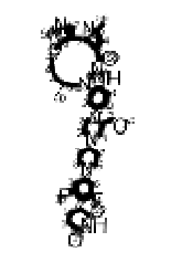 COCC1CN(C2CCN(c3cc(F)c([C@H]4CCC(=O)NC4=O)c(F)c3)CC2)CCN1c1ccc2c(c1)N1C[C@H](C)CCCOc3c(cnn3C)-c3cc(cc(C)n3)C(=O)/N=C/1N2